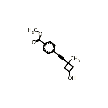 COC(=O)c1ccc(C#CC2(C)CC(O)C2)cc1